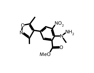 COC(=O)c1cc(-c2c(C)noc2C)cc([N+](=O)[O-])c1N(C)N